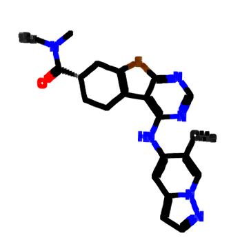 COc1cn2nccc2cc1Nc1ncnc2sc3c(c12)CC[C@H](C(=O)N(C)C(C)(C)C)C3